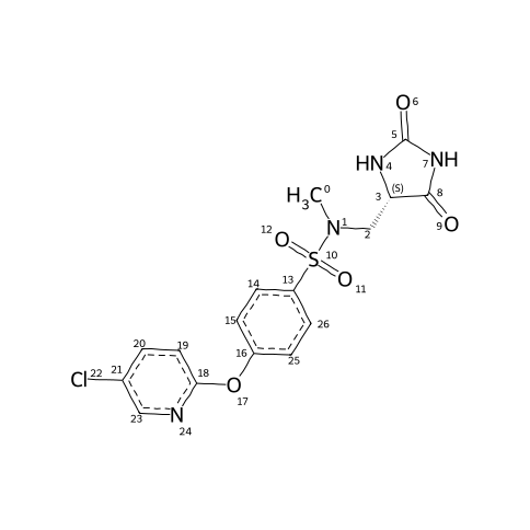 CN(C[C@@H]1NC(=O)NC1=O)S(=O)(=O)c1ccc(Oc2ccc(Cl)cn2)cc1